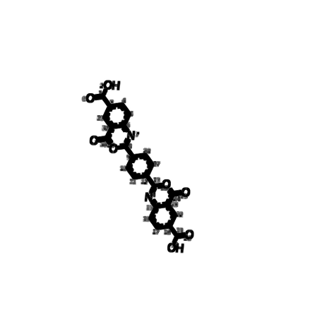 O=C(O)c1ccc2nc(-c3ccc(-c4nc5ccc(C(=O)O)cc5c(=O)o4)cc3)oc(=O)c2c1